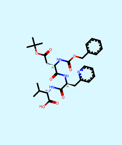 CC(C)[C@H](NC(=O)[C@H](Cc1ccccn1)NC(=O)[C@H](CC(=O)OC(C)(C)C)NC(=O)OCc1ccccc1)C(=O)O